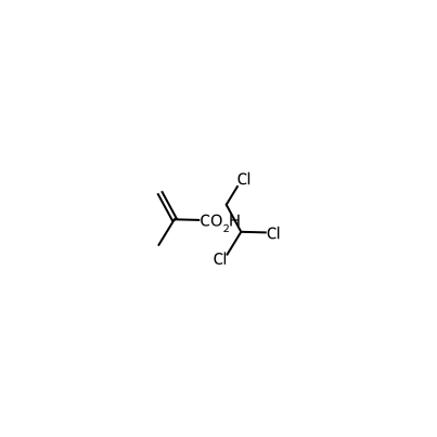 C=C(C)C(=O)O.ClCC(Cl)Cl